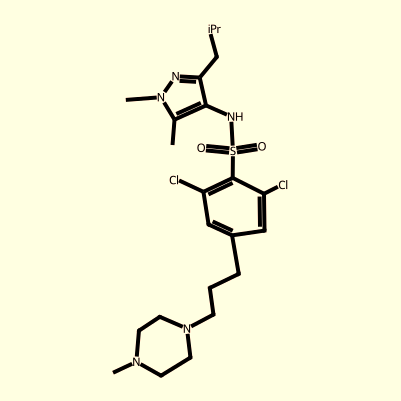 Cc1c(NS(=O)(=O)c2c(Cl)cc(CCCN3CCN(C)CC3)cc2Cl)c(CC(C)C)nn1C